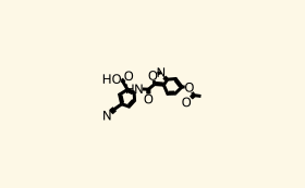 CC(=O)Oc1ccc2c(C(=O)Nc3ccc(C#N)cc3C(=O)O)onc2c1